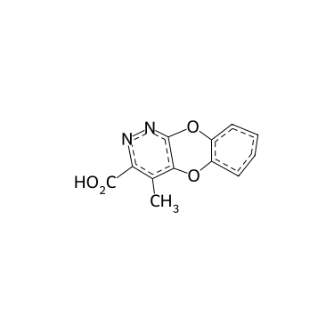 Cc1c(C(=O)O)nnc2c1Oc1ccccc1O2